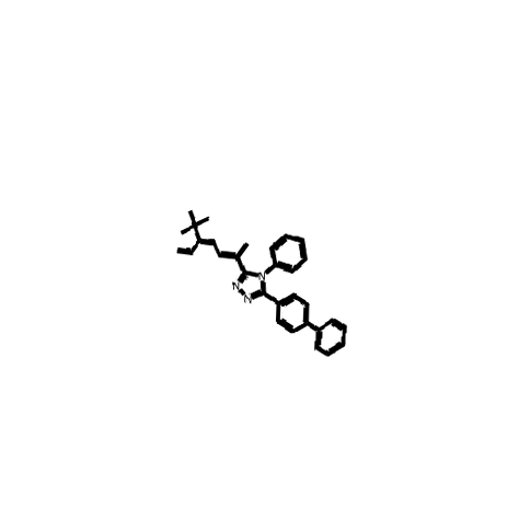 C=C/C(=C\C=C(/C)c1nnc(-c2ccc(-c3ccccc3)cc2)n1-c1ccccc1)C(C)(C)C